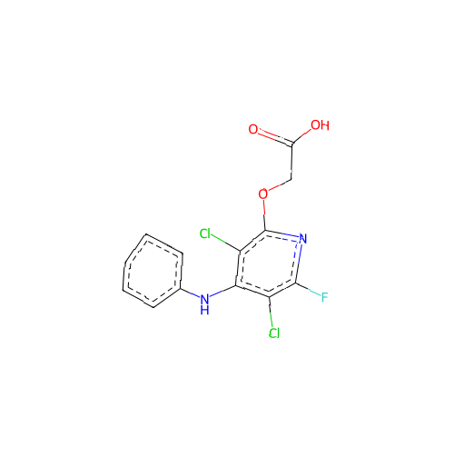 O=C(O)COc1nc(F)c(Cl)c(Nc2ccccc2)c1Cl